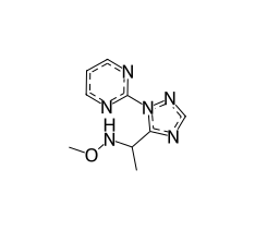 CONC(C)c1ncnn1-c1ncccn1